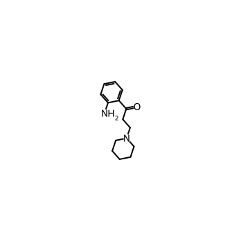 Nc1ccccc1C(=O)CCN1CCCCC1